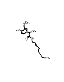 CCCCCCCCNC(=O)C(O)c1ccc(O)c(OC)c1